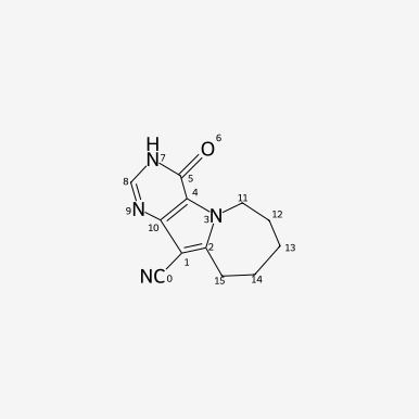 N#Cc1c2n(c3c(=O)[nH]cnc13)CCCCC2